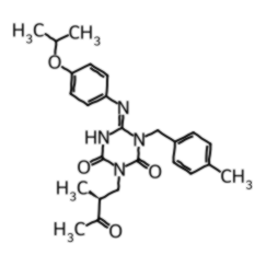 CC(=O)[C@@H](C)Cn1c(=O)[nH]/c(=N\c2ccc(OC(C)C)cc2)n(Cc2ccc(C)cc2)c1=O